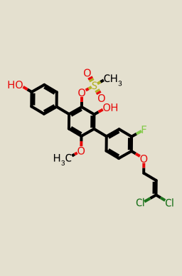 COc1cc(-c2ccc(O)cc2)c(OS(C)(=O)=O)c(O)c1-c1ccc(OCC=C(Cl)Cl)c(F)c1